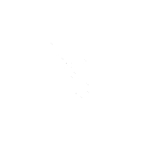 N#CCC(=O)N1C[C@@H]2C[C@](CC#N)(n3cc(-c4ncnc5[nH]ccc45)cn3)C[C@@H]2C1